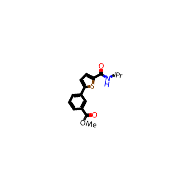 COC(=O)c1cccc(-c2ccc(C(=O)NC(C)C)s2)c1